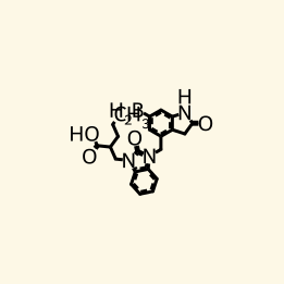 Bc1cc(Cn2c(=O)n(CC(CCC)C(=O)O)c3ccccc32)c2c(c1)NC(=O)C2